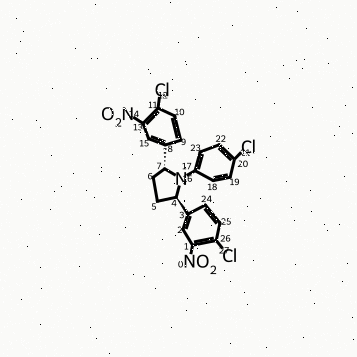 O=[N+]([O-])c1cc([C@H]2CC[C@H](c3ccc(Cl)c([N+](=O)[O-])c3)N2c2ccc(Cl)cc2)ccc1Cl